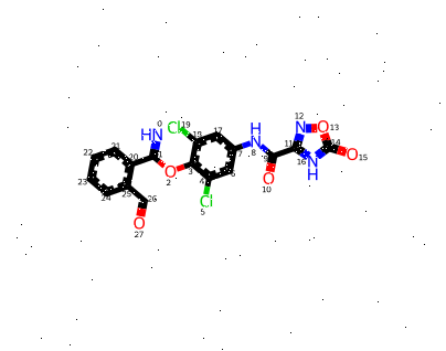 N=C(Oc1c(Cl)cc(NC(=O)c2noc(=O)[nH]2)cc1Cl)c1ccccc1C=O